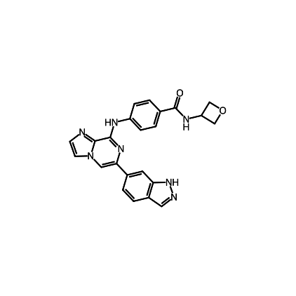 O=C(NC1COC1)c1ccc(Nc2nc(-c3ccc4cn[nH]c4c3)cn3ccnc23)cc1